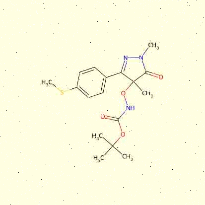 CSc1ccc(C2=NN(C)C(=O)C2(C)ONC(=O)OC(C)(C)C)cc1